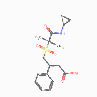 CC(C)(C(=O)NC1CC1)S(=O)(=O)CC(CC(=O)O)c1ccccc1